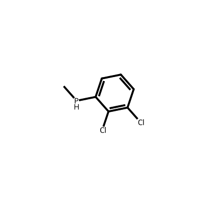 CPc1cccc(Cl)c1Cl